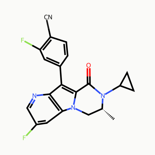 C[C@@H]1Cn2c(c(-c3ccc(C#N)c(F)c3)c3ncc(F)cc32)C(=O)N1C1CC1